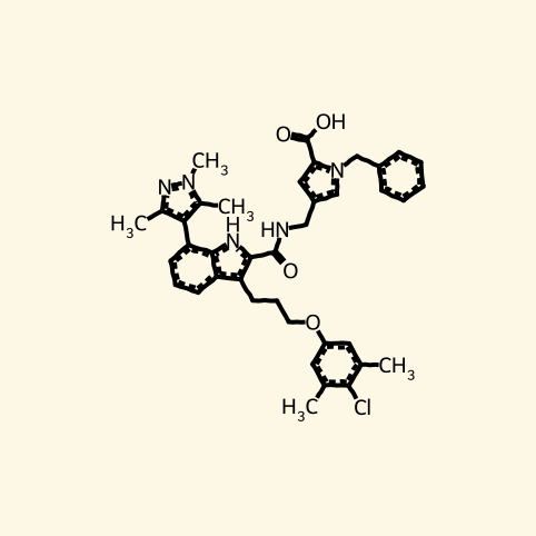 Cc1cc(OCCCc2c(C(=O)NCc3cc(C(=O)O)n(Cc4ccccc4)c3)[nH]c3c(-c4c(C)nn(C)c4C)cccc23)cc(C)c1Cl